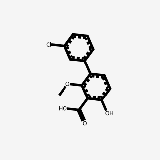 COc1c(-c2cccc(Cl)c2)ccc(O)c1C(=O)O